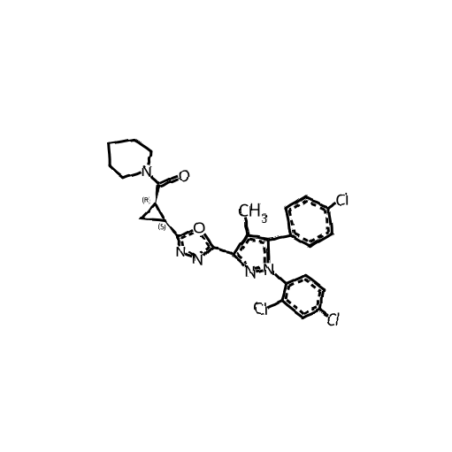 Cc1c(-c2nnc([C@H]3C[C@H]3C(=O)N3CCCCC3)o2)nn(-c2ccc(Cl)cc2Cl)c1-c1ccc(Cl)cc1